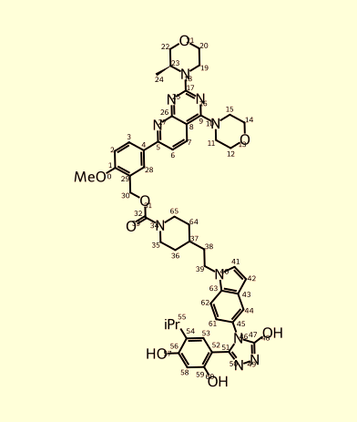 COc1ccc(-c2ccc3c(N4CCOCC4)nc(N4CCOC[C@@H]4C)nc3n2)cc1COC(=O)N1CCC(CCn2ccc3cc(-n4c(O)nnc4-c4cc(C(C)C)c(O)cc4O)ccc32)CC1